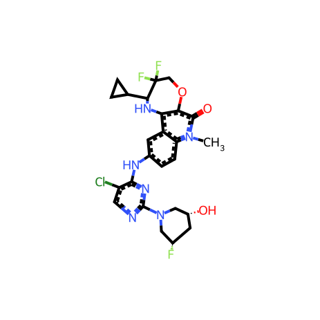 Cn1c(=O)c2c(c3cc(Nc4nc(N5C[C@H](O)C[C@H](F)C5)ncc4Cl)ccc31)NC(C1CC1)C(F)(F)CO2